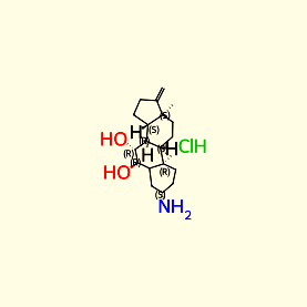 C=C1CC[C@H]2[C@@H]3[C@@H](O)[C@H](O)C4C[C@@H](N)CC[C@]4(C)[C@H]3CC[C@]12C.Cl